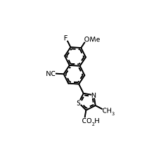 COc1cc2cc(-c3nc(C)c(C(=O)O)s3)cc(C#N)c2cc1F